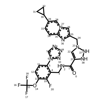 O=C(NCc1c(-n2cnnn2)ccc(OC(F)(F)F)c1F)C1=CN(Cc2cn3cc(C4CC4)ccc3n2)NN1